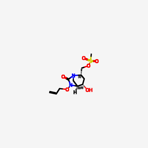 C=CCON1C(=O)N2C[C@H]1[C@@H](O)C[C@H]2COS(C)(=O)=O